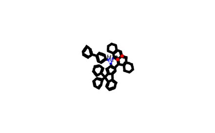 Cc1ccc2c(c1-c1cc3c(cc1N(c1ccc(-c4ccccc4)cc1)c1cccc4c1CCCC4)C(c1ccccc1)(c1ccccc1)c1ccccc1-3)CCCC2